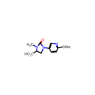 COc1ccc(N2CC(C(=O)O)N(C)C2=O)cn1